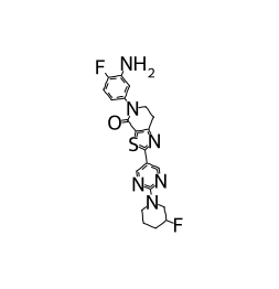 Nc1cc(N2CCc3nc(-c4cnc(N5CCCC(F)C5)nc4)sc3C2=O)ccc1F